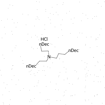 CCCCCCCCCCCCCN(CCCCCCCCCCCC)CCCCCCCCCCCC.Cl